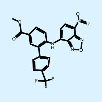 COC(=O)c1ccc(Nc2ccc([N+](=O)[O-])c3nonc23)c(-c2ccc(C(F)(F)F)cc2)c1